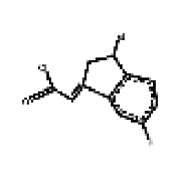 CCC1CC(=CC(=O)Cl)c2cc(F)ccc21